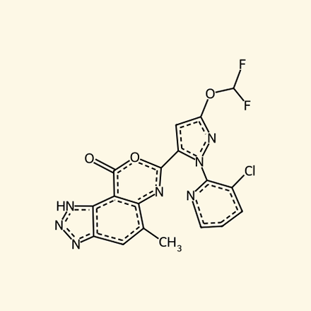 Cc1cc2nn[nH]c2c2c(=O)oc(-c3cc(OC(F)F)nn3-c3ncccc3Cl)nc12